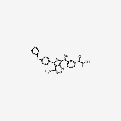 CC(=O)N(c1cccc(C(=O)NO)c1)n1nc(-c2ccc(Oc3ccccc3)cc2)c2c(N)ncnc21